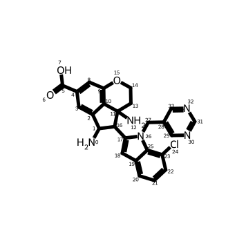 NC1c2cc(C(=O)O)cc3c2C(N)(CCO3)C1c1cc2cccc(Cl)c2n1Cc1cncnc1